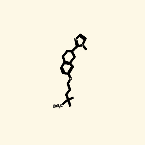 CCOC(=O)C(C)(C)CCCOc1ccc2c(c1)CC(c1nccn1C)CC2